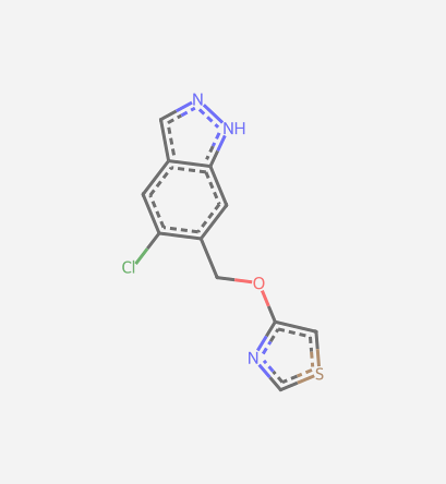 Clc1cc2cn[nH]c2cc1COc1cscn1